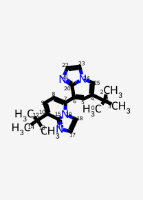 CC(C)(C)c1cc(-c2ccc(C(C)(C)C)c3nccn23)c2nccn2c1